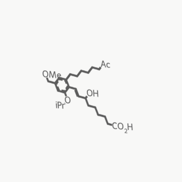 COCc1cc(CCCCCCC(C)=O)c(/C=C/C(O)CCCCCC(=O)O)c(OC(C)C)c1